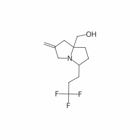 C=C1CN2C(CCC(F)(F)F)CCC2(CO)C1